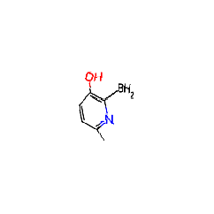 Bc1nc(C)ccc1O